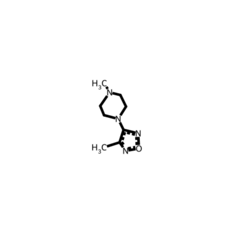 Cc1nonc1N1CCN(C)CC1